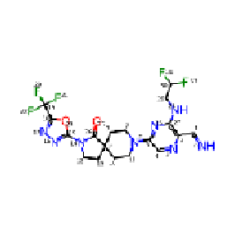 N=Cc1ncc(N2CCC3(CC2)CCN(c2nnc(C(F)(F)F)o2)C3=O)nc1NCC(F)F